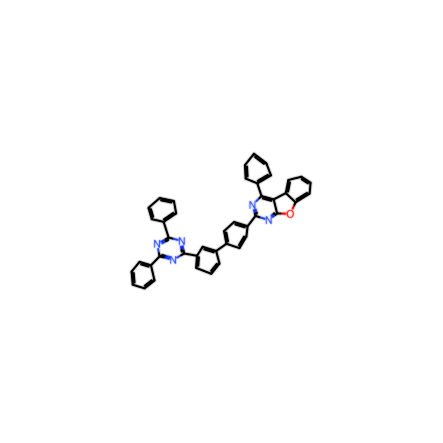 c1ccc(-c2nc(-c3ccccc3)nc(-c3cccc(-c4ccc(-c5nc(-c6ccccc6)c6c(n5)oc5ccccc56)cc4)c3)n2)cc1